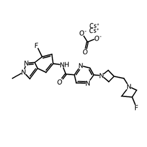 Cn1cc2cc(NC(=O)c3cnc(N4CC(CN5CC(F)C5)C4)cn3)cc(F)c2n1.O=C([O-])[O-].[Cs+].[Cs+]